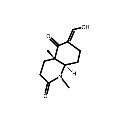 CN1C(=O)CC[C@]2(C)C(=O)/C(=C/O)CC[C@@H]12